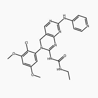 CCNC(=O)NC1=Nc2nc(Nc3ccncc3)ncc2CN1c1cc(OC)cc(OC)c1Cl